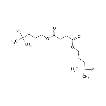 CC(C)C(C)(C)CCCOC(=O)CCC(=O)OCCCC(C)(C)C(C)C